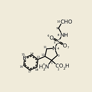 NC1(C(=O)O)CN(S(=O)(=O)NCC=O)CC1c1cbccc1